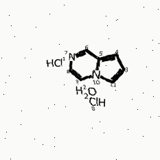 Cl.Cl.O.c1cc2cnccn2c1